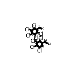 C=Cc1c(Cl)c(Cl)c(Cl)c(Cl)c1Cl.C=Cc1cc(Cl)c(Cl)c(Cl)c1Cl